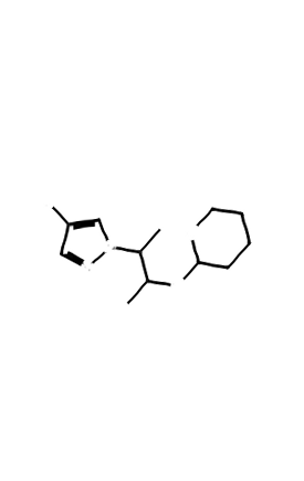 CC(OC1CCCCO1)C(C)n1cc(Br)cn1